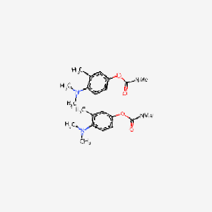 CNC(=O)Oc1ccc(N(C)C)c(C)c1.CNC(=O)Oc1ccc(N(C)C)c(C)c1